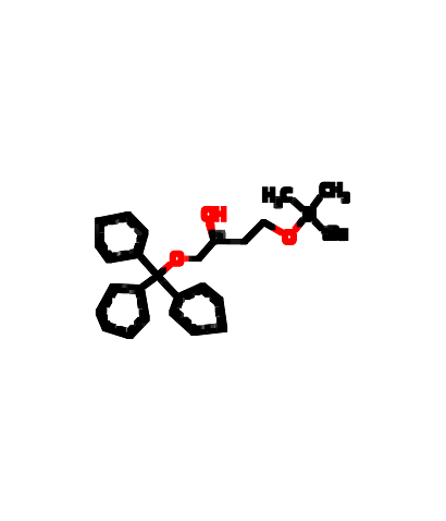 CC(C)(C)[Si](C)(C)OCC[C@H](O)COC(c1ccccc1)(c1ccccc1)c1ccccc1